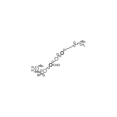 CCCCC(C)/C=C/C(=O)OCCCCCCOc1ccc(OC(=O)C2CCC(COc3ccc(OCC4CCC(C(=O)N(C(=O)NC(C)CC(C)CCCC)C(C)C)CC4)cc3C=O)CC2)cc1